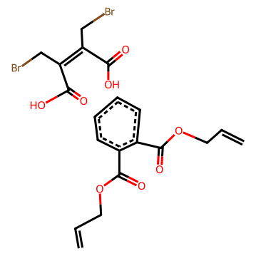 C=CCOC(=O)c1ccccc1C(=O)OCC=C.O=C(O)C(CBr)=C(CBr)C(=O)O